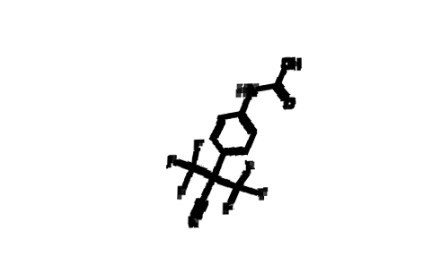 N#CC(c1ccc(NC(=O)O)cc1)(C(F)(F)F)C(F)(F)F